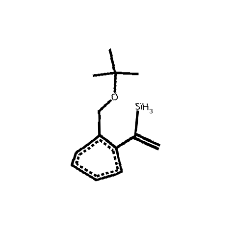 C=C([SiH3])c1ccccc1COC(C)(C)C